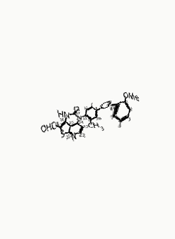 COc1ccccc1Oc1ccc(N2C(=O)Nc3c(C=O)sc4nccc2c34)c(C)c1